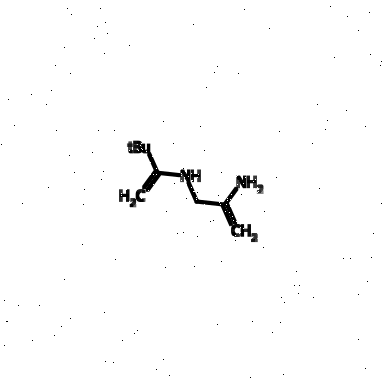 C=C(N)CNC(=C)C(C)(C)C